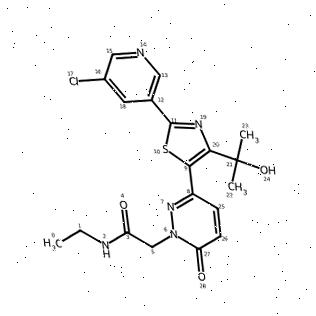 CCNC(=O)Cn1nc(-c2sc(-c3cncc(Cl)c3)nc2C(C)(C)O)ccc1=O